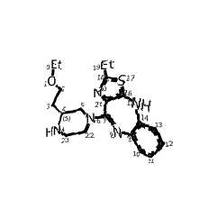 CCOCC[C@H]1CN(C2=Nc3ccccc3Nc3sc(CC)nc32)CCN1